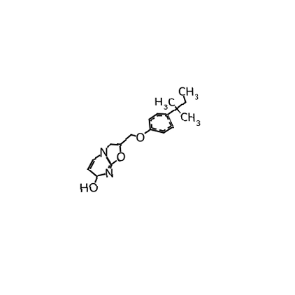 CCC(C)(C)c1ccc(OCC2CN3C=CC(O)N=C3O2)cc1